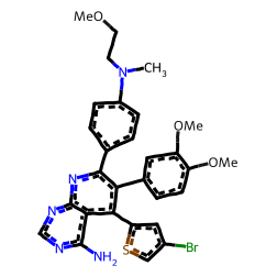 COCCN(C)c1ccc(-c2nc3ncnc(N)c3c(-c3cc(Br)cs3)c2-c2ccc(OC)c(OC)c2)cc1